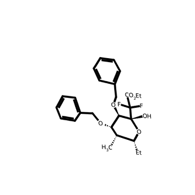 CCOC(=O)C(F)(F)[C@]1(O)O[C@H](CC)[C@H](C)[C@H](OCc2ccccc2)[C@H]1OCc1ccccc1